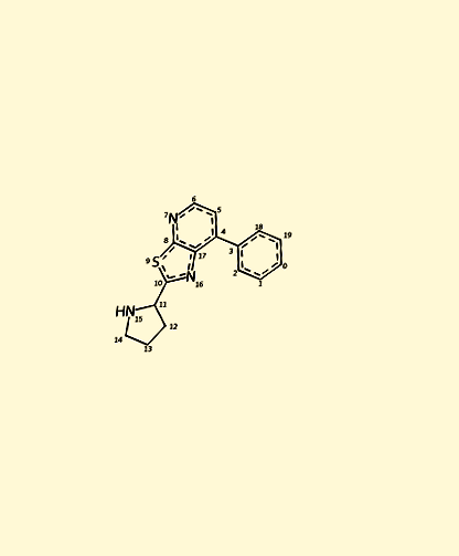 c1ccc(-c2ccnc3sc(C4CCCN4)nc23)cc1